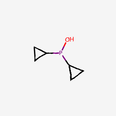 OP(C1CC1)C1CC1